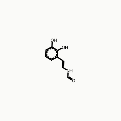 O=CN/C=C/c1cccc(O)c1O